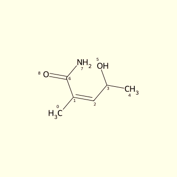 CC(=CC(C)O)C(N)=O